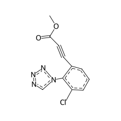 COC(=O)C#Cc1cccc(Cl)c1-n1cnnn1